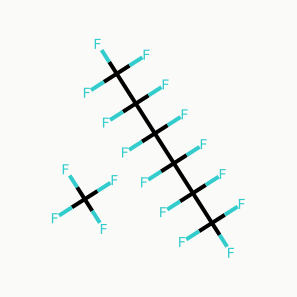 FC(F)(F)C(F)(F)C(F)(F)C(F)(F)C(F)(F)C(F)(F)F.FC(F)(F)F